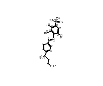 CCN(CCOC(C)=O)c1ccc(N=Nc2c(Cl)cc(S(=O)(=O)F)c(Cl)c2Br)cc1